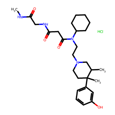 CNC(=O)CNC(=O)CC(=O)N(CCN1CCC(C)(c2cccc(O)c2)C(C)C1)C1CCCCC1.Cl